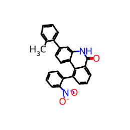 Cc1ccccc1-c1ccc2c(c1)[nH]c(=O)c1cccc(-c3ccccc3[N+](=O)[O-])c12